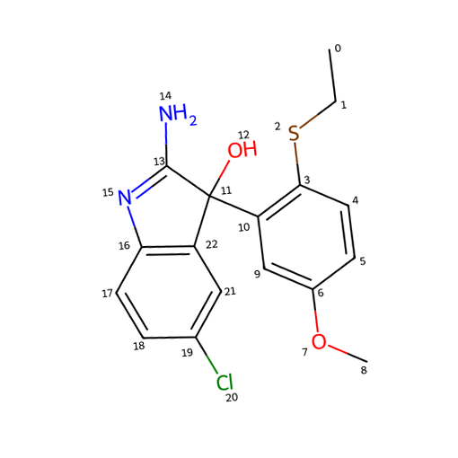 CCSc1ccc(OC)cc1C1(O)C(N)=Nc2ccc(Cl)cc21